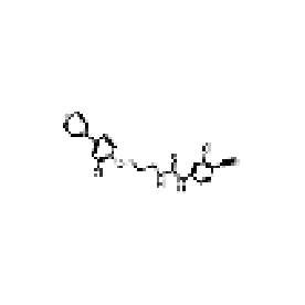 N#Cc1ccc(NC(=S)NCCCOc2ccc(-c3ccncc3)cc2Cl)cc1Cl